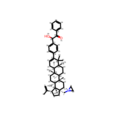 C=C(C)[C@@H]1CC[C@]2(CN3CC3)CC[C@]3(C)[C@H](CC[C@@H]4[C@@]5(C)CC=C(c6ccc(C(O)C(=O)c7ccccc7)cc6)C(C)(C)[C@@H]5CC[C@]43C)[C@@H]12